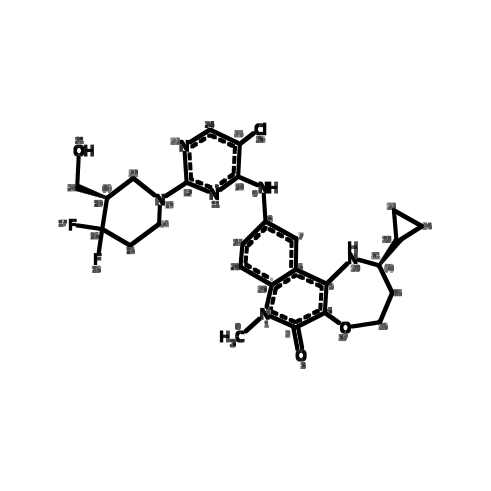 Cn1c(=O)c2c(c3cc(Nc4nc(N5CCC(F)(F)[C@@H](CO)C5)ncc4Cl)ccc31)N[C@@H](C1CC1)CCO2